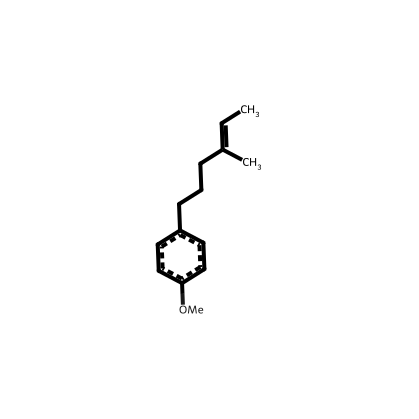 C/C=C(\C)CCCc1ccc(OC)cc1